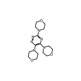 C1CN(c2nnc(N3CCOCC3)c(N3CCOCC3)n2)CCO1